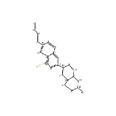 C=CCCc1ccc2cc(C3CCC4CC(C)CCC4C3)cc(F)c2c1